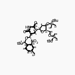 CC(C)(C)[C@@H](OCc1cn([C@H]2C[C@@H](O[Si](C)(C)C(C)(C)C)[C@@H](CO[Si](C)(C)C(C)(C)C)O2)c(=O)[nH]c1=O)c1ccc(I)cc1[N+](=O)[O-]